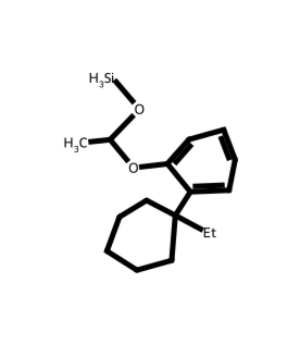 CCC1(c2ccccc2OC(C)O[SiH3])CCCCC1